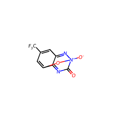 O=C1N=c2c3cc(C(F)(F)F)cc2=N[N+]1([O-])O3